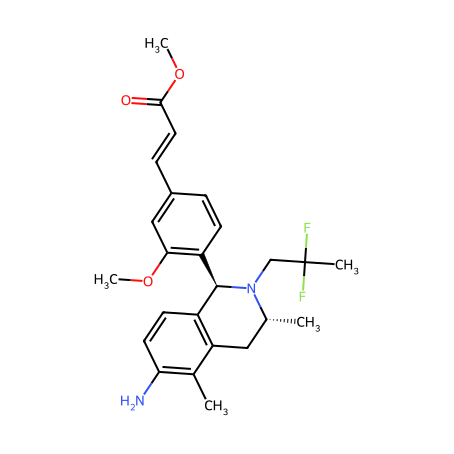 COC(=O)/C=C/c1ccc([C@@H]2c3ccc(N)c(C)c3C[C@@H](C)N2CC(C)(F)F)c(OC)c1